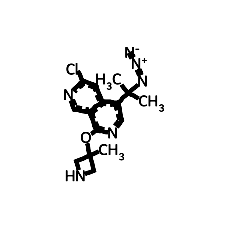 CC1(Oc2ncc(C(C)(C)N=[N+]=[N-])c3cc(Cl)ncc23)CNC1